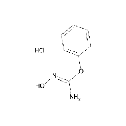 Cl.NC(=NO)Oc1ccccc1